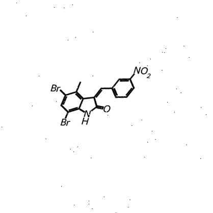 Cc1c(Br)cc(Br)c2c1C(=Cc1cccc([N+](=O)[O-])c1)C(=O)N2